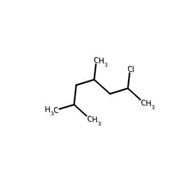 CC(C)CC(C)CC(C)Cl